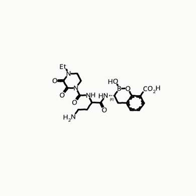 CCN1CCN(C(=O)NC(CCN)C(=O)N[C@H]2Cc3cccc(C(=O)O)c3OB2O)C(=O)C1=O